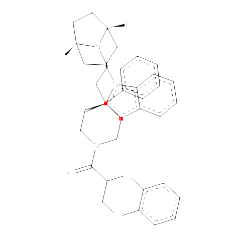 Cc1nc2ccccc2n1C1C[C@H]2CC[C@@H](C1)N2CCC1(c2ccccc2)CCN(C(=O)C2COc3ccccc3O2)CC1